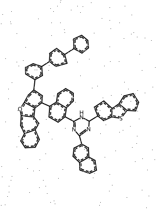 c1ccc(-c2ccc(-c3cccc(-c4cc(-c5ccc(C6=NC(c7ccc8ccccc8c7)=NC(c7ccc8c(c7)sc7ccccc78)N6)c6ccccc56)c5c(c4)oc4cc6ccccc6cc45)c3)cc2)cc1